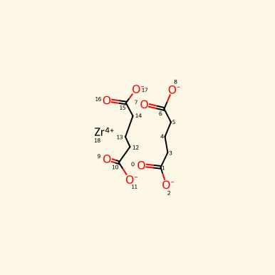 O=C([O-])CCCC(=O)[O-].O=C([O-])CCCC(=O)[O-].[Zr+4]